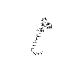 CCCCC/C=C\C/C=C\CCCCCCCCC(=O)CCC(=O)NCCC[N+](CCN)(CCCN)CCCN